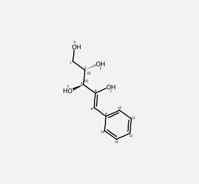 OC[C@H](O)[C@H](O)C(O)=Cc1ccccc1